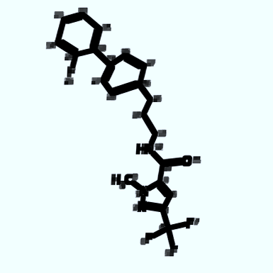 Cn1nc(C(F)(F)F)cc1C(=O)NCCCc1ccc(-c2ccccc2F)cc1